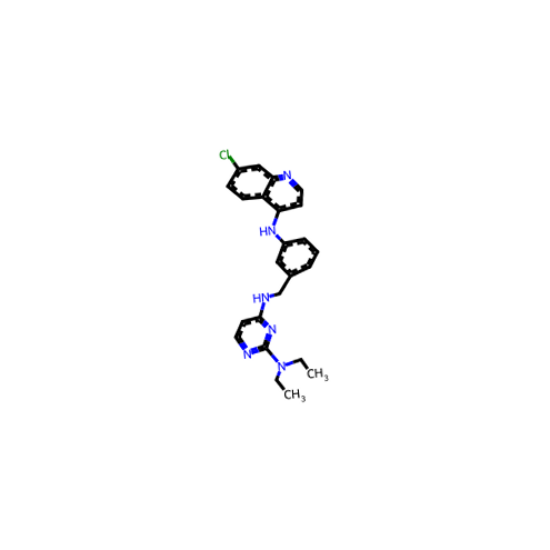 CCN(CC)c1nccc(NCc2cccc(Nc3ccnc4cc(Cl)ccc34)c2)n1